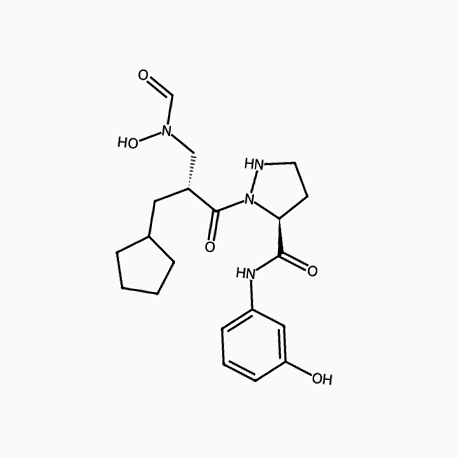 O=CN(O)C[C@@H](CC1CCCC1)C(=O)N1NCC[C@H]1C(=O)Nc1cccc(O)c1